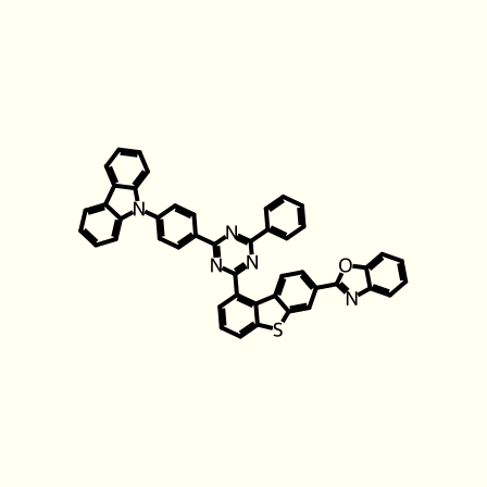 c1ccc(-c2nc(-c3ccc(-n4c5ccccc5c5ccccc54)cc3)nc(-c3cccc4sc5cc(-c6nc7ccccc7o6)ccc5c34)n2)cc1